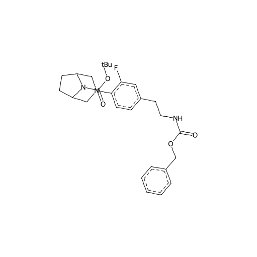 CC(C)(C)OC(=O)N1C2CCC1CN(c1ccc(CCNC(=O)OCc3ccccc3)cc1F)C2